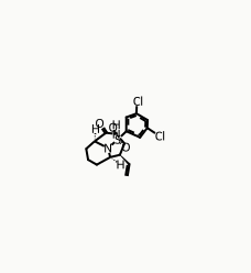 C=C[C@@H]1CNC(=O)[C@@H]2CCC[C@H]1N2S(=O)(=O)c1cc(Cl)cc(Cl)c1